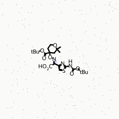 CC(C)(C)OC(=O)Nc1nc(/C(=N/OC2(C(=O)OC(C)(C)C)CCOC(C)(C)C2)C(=O)O)cs1